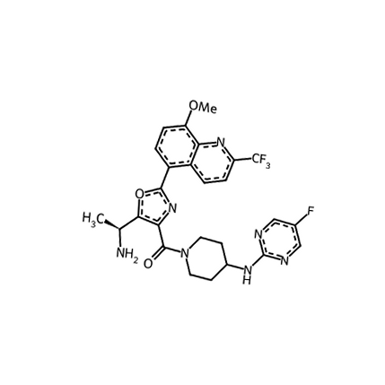 COc1ccc(-c2nc(C(=O)N3CCC(Nc4ncc(F)cn4)CC3)c([C@H](C)N)o2)c2ccc(C(F)(F)F)nc12